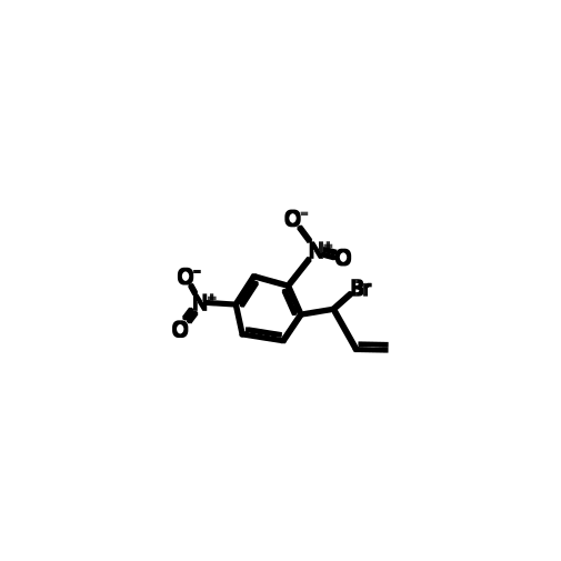 C=CC(Br)c1ccc([N+](=O)[O-])cc1[N+](=O)[O-]